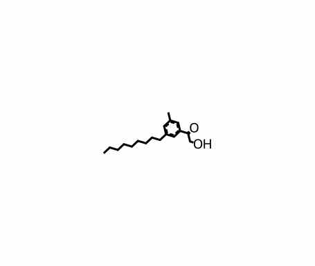 CCCCCCCCCc1cc(C)cc(C(=O)CO)c1